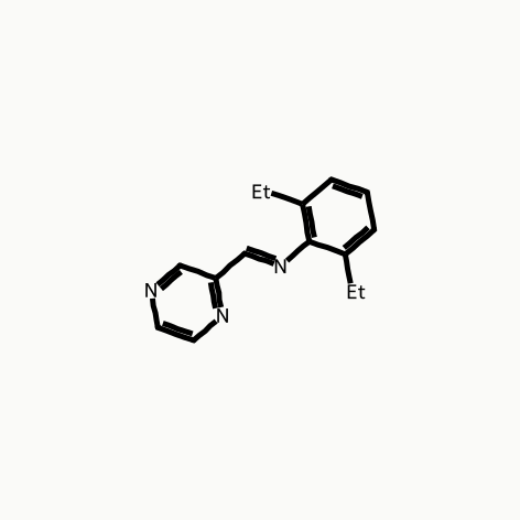 CCc1cccc(CC)c1N=Cc1cnccn1